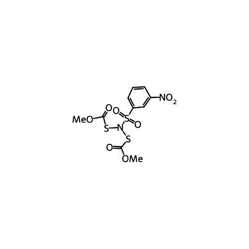 COC(=O)SN(SC(=O)OC)S(=O)(=O)c1cccc([N+](=O)[O-])c1